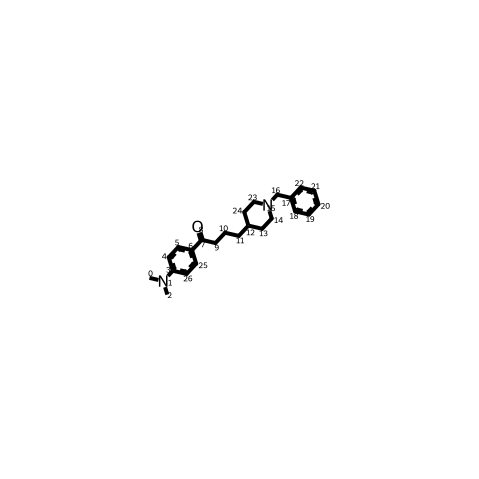 CN(C)c1ccc(C(=O)CCCC2CCN(Cc3ccccc3)CC2)cc1